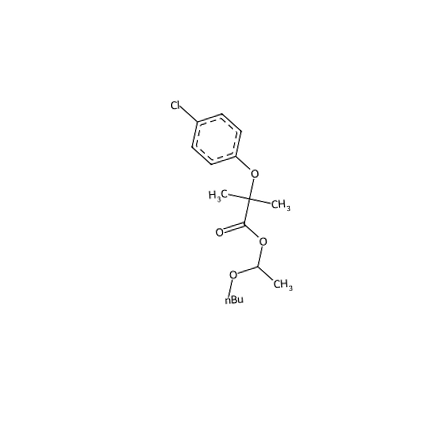 CCCCOC(C)OC(=O)C(C)(C)Oc1ccc(Cl)cc1